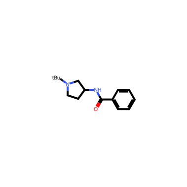 CC(C)(C)N1CCC(NC(=O)c2ccccc2)C1